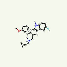 COc1cccc(C23CCN(CC4CC4)CC2Cc2c(n(C)c4ccc(F)cc24)C3)c1